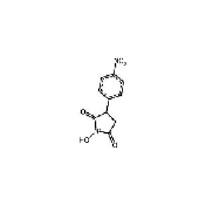 O=C1CC(c2ccc([N+](=O)[O-])cc2)C(=O)[N+]1O